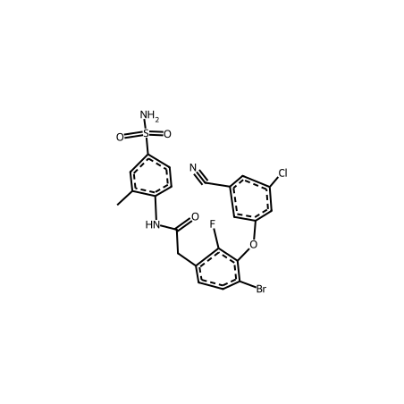 Cc1cc(S(N)(=O)=O)ccc1NC(=O)Cc1ccc(Br)c(Oc2cc(Cl)cc(C#N)c2)c1F